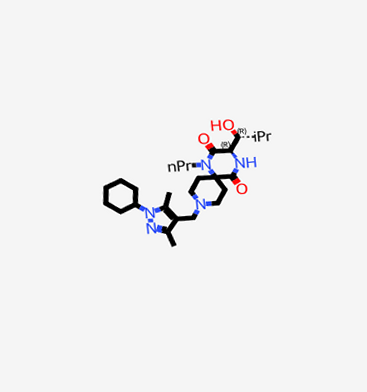 CCCN1C(=O)[C@@H]([C@H](O)C(C)C)NC(=O)C12CCN(Cc1c(C)nn(C3CCCCC3)c1C)CC2